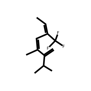 C=C(/C(C)=C\C(=C/C)C(F)(F)F)C(C)C